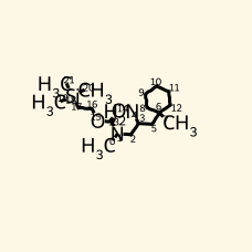 CN(CC(N)CC1(C)CCCCC1)C(=O)OCC[Si](C)(C)C